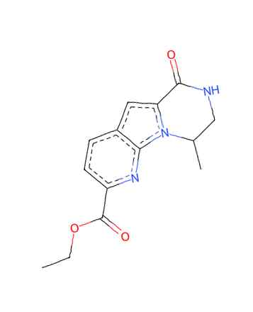 CCOC(=O)c1ccc2cc3n(c2n1)C(C)CNC3=O